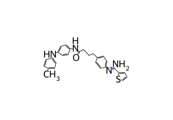 Cc1ccc(Nc2ccc(NC(=O)CCCc3ccc(/N=C(\N)c4cccs4)cc3)cc2)cc1